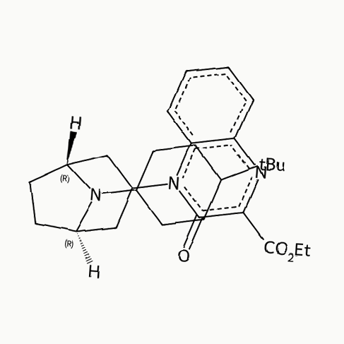 CCOC(=O)c1nc2ccccc2n(C2C[C@H]3CC[C@H](C2)N3C2CCC(C(C)(C)C)CC2)c1=O